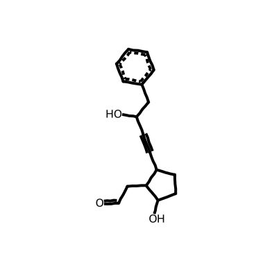 O=CCC1C(O)CCC1C#CC(O)Cc1ccccc1